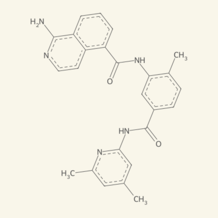 Cc1cc(C)nc(NC(=O)c2ccc(C)c(NC(=O)c3cccc4c(N)nccc34)c2)c1